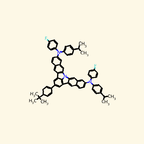 CC(C)c1ccc(N(c2ccc(F)cc2)c2ccc3cc4c5cc(C6=CCC(C(C)(C)C)C=C6)cc6c7cc8ccc(N(c9ccc(F)cc9)c9ccc(C(C)C)cc9)cc8cc7n(c4cc3c2)c56)cc1